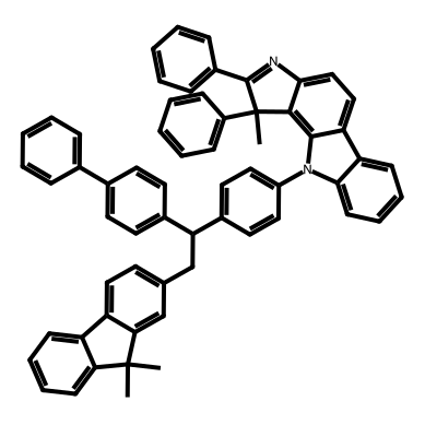 CC1(C)c2ccccc2-c2ccc(CC(c3ccc(-c4ccccc4)cc3)c3ccc(-n4c5ccccc5c5ccc6c(c54)C(C)(c4ccccc4)C(c4ccccc4)=N6)cc3)cc21